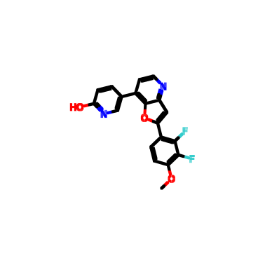 COc1ccc(-c2cc3nccc(-c4ccc(O)nc4)c3o2)c(F)c1F